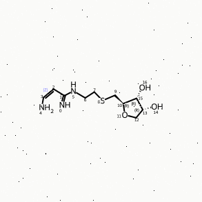 N=C(/C=C\N)NCCSC[C@@H]1OC[C@@H](O)[C@H]1O